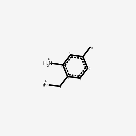 Cc1ccc(CC(C)C)c(N)c1